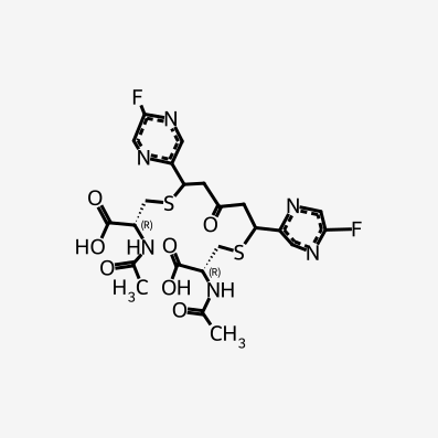 CC(=O)N[C@@H](CSC(CC(=O)CC(SC[C@H](NC(C)=O)C(=O)O)c1cnc(F)cn1)c1cnc(F)cn1)C(=O)O